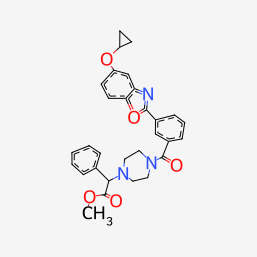 COC(=O)C(c1ccccc1)N1CCN(C(=O)c2cccc(-c3nc4cc(OC5CC5)ccc4o3)c2)CC1